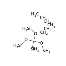 C.C.C.C.C.C.[SiH3]OC([SiH3])(O[SiH3])O[SiH3]